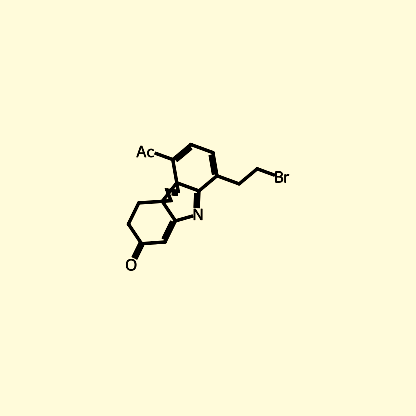 CC(=O)C1=CC=C(CCBr)C2=NC3=CC(=O)CCC34CC=CC124